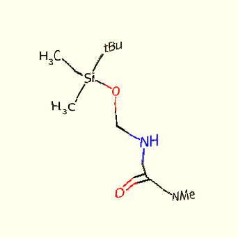 CNC(=O)NCO[Si](C)(C)C(C)(C)C